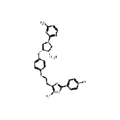 Cc1oc(-c2ccc(Cl)cc2)nc1CCOc1ccc(C[C@@H]2CN(c3nccc(C(F)(F)F)n3)C[C@@H]2C(=O)O)cc1